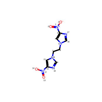 O=[N+]([O-])c1cn(CCn2cnc([N+](=O)[O-])c2)cn1